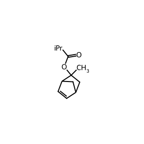 CC(C)C(=O)OC1(C)CC2C=CC1C2